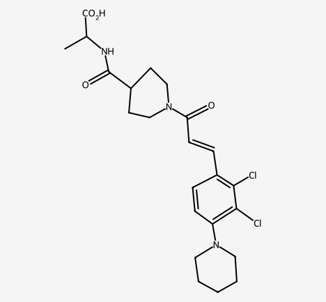 CC(NC(=O)C1CCN(C(=O)C=Cc2ccc(N3CCCCC3)c(Cl)c2Cl)CC1)C(=O)O